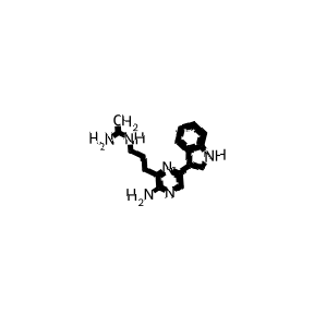 C=C(N)NCCCc1nc(C2CNc3ccccc32)cnc1N